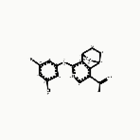 CC(=O)c1cnc(Nc2cc(F)cc(Cl)c2)c2c1C1CCC2CC1